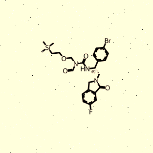 C[Si](C)(C)CCOCN(C=O)C(=O)N[C@@H](CN1Cc2ccc(F)cc2C1=O)c1ccc(Br)cc1